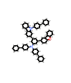 c1ccc(-c2ccc(N(c3ccc(-c4ccccc4)cc3)c3cc(-c4ccc5oc6ccccc6c5c4)cc(-c4ccc5c6ccccc6n(-c6ccc(-c7ccccc7)cc6)c5c4)c3)cc2)cc1